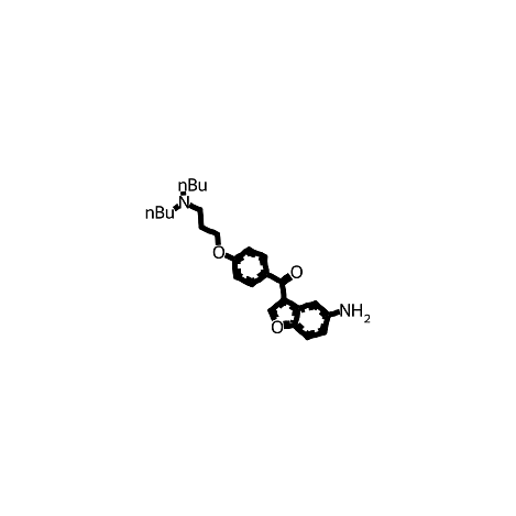 CCCCN(CCCC)CCCOc1ccc(C(=O)c2coc3ccc(N)cc23)cc1